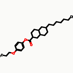 CCCCCCCC1CCC2CC(C(=O)Oc3ccc(OCCC)cc3)CCC2C1